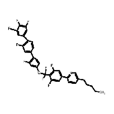 CCCCCc1ccc(-c2cc(F)c(C(F)(F)Oc3ccc(-c4ccc(-c5cc(F)c(F)c(F)c5)c(F)c4)c(F)c3)c(F)c2)nc1